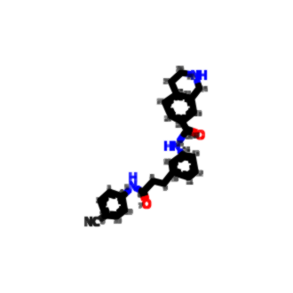 N#Cc1ccc(NC(=O)CCc2cccc(NC(=O)c3ccc4c(c3)CNCC4)c2)cc1